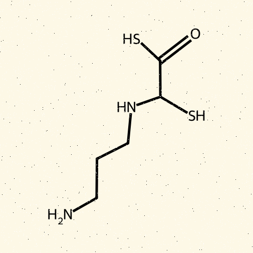 NCCCNC(S)C(=O)S